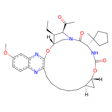 CC[C@@H]1[C@@H]2CN(C(=O)[C@H](C3(C)CCCC3)NC(=O)O[C@@H]3C[C@H]3CCCCCc3nc4ccc(OC)cc4nc3O2)[C@@H]1C(C)=O